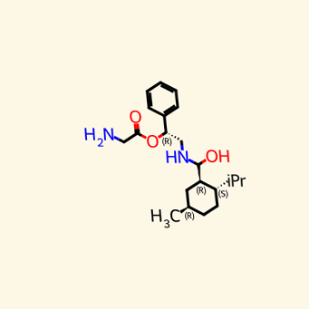 CC(C)[C@@H]1CC[C@@H](C)C[C@H]1C(O)NC[C@H](OC(=O)CN)c1ccccc1